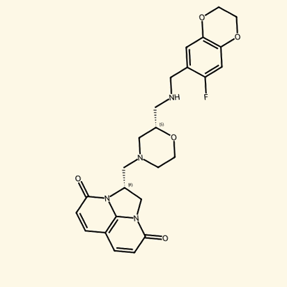 O=c1ccc2ccc(=O)n3c2n1C[C@H]3CN1CCO[C@@H](CNCc2cc3c(cc2F)OCCO3)C1